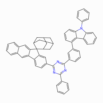 c1ccc(-c2nc(-c3cccc(-c4cccc5c4c4ccccc4n5-c4ccccc4)c3)nc(-c3ccc4c(c3)C3(c5cc6ccccc6cc5-4)C4CC5CC(C4)CC3C5)n2)cc1